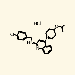 CC(C)OC1CCN(c2cc(NCc3ccc(Cl)cc3)nc3ccccc23)CC1.Cl